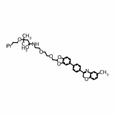 Cc1ccc2c(c1)N=C(c1ccc(-c3ccc4c(c3)OC(COCCOCCNC(=O)CC(C)(C)OCCC(C)C)O4)cc1)CO2